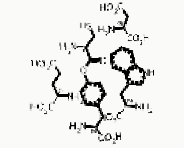 N[C@@H](CC(=O)O)C(=O)O.N[C@@H](CCC(=O)O)C(=O)O.N[C@@H](Cc1c[nH]c2ccccc12)C(=O)O.N[C@@H](Cc1ccc(OC(=O)[C@@H](N)CS)cc1)C(=O)O